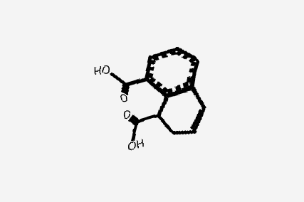 O=C(O)c1cccc2c1C(C(=O)O)CC=C2